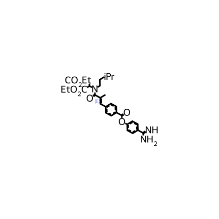 CCOC(=O)C(C(=O)OCC)N(CCC(C)C)C(=O)/C(C)=C/c1ccc(C(=O)Oc2ccc(C(=N)N)cc2)cc1